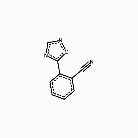 N#Cc1ccccc1-c1ncno1